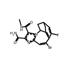 CNC(=O)c1c(C(N)=O)nc2n1C1CC3C=C(F)C(=C1C3)C(Br)=C2